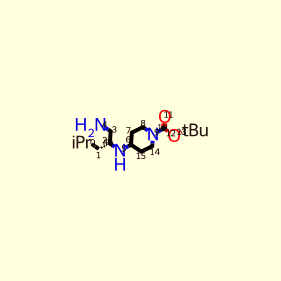 CC(C)C[C@H](CN)NC1CCN(C(=O)OC(C)(C)C)CC1